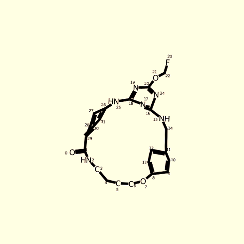 O=C1NCCCCOc2ccc(cc2)CNc2nc(nc(OCF)n2)Nc2ccc1cc2